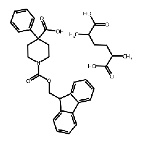 CC(CCC(C)C(=O)O)C(=O)O.O=C(OCC1c2ccccc2-c2ccccc21)N1CCC(C(=O)O)(c2ccccc2)CC1